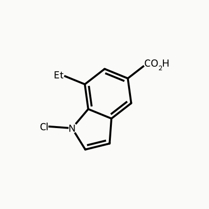 CCc1cc(C(=O)O)cc2ccn(Cl)c12